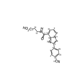 N#Cc1ccc(-c2cn3cccc(C(=O)NCCC(=O)O)c3n2)cc1